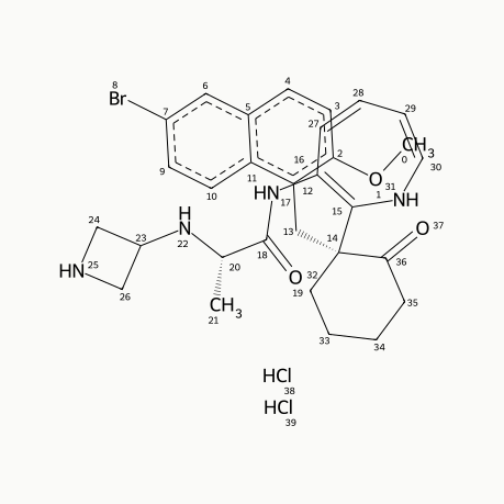 COc1ccc2cc(Br)ccc2c1C[C@@]1(C2=C(NC(=O)[C@H](C)NC3CNC3)C=CC=CN2)CCCCC1=O.Cl.Cl